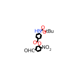 CC(C)(C)OC(=O)Nc1ccc(C(=O)Oc2cc(C=O)ccc2[N+](=O)[O-])cc1